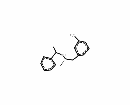 CC(N[C@@H](C)Cc1cccc(C(F)(F)F)c1)c1ccccc1